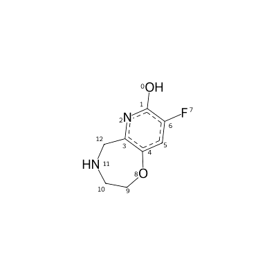 Oc1nc2c(cc1F)OCCNC2